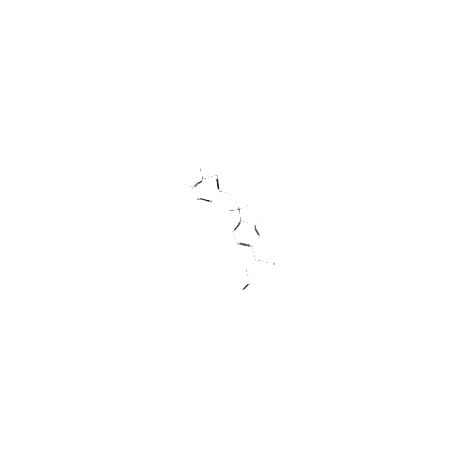 C=CCC(O)c1cc(F)c(C(F)(F)Oc2cc(F)c(F)c(F)c2)c(F)c1